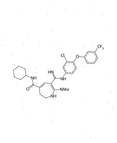 CNC1=C(C(=N)Nc2ccc(Oc3cccc(C(F)(F)F)c3)c(Cl)c2)C=C(C(=O)NC2CCCCC2)CCN1